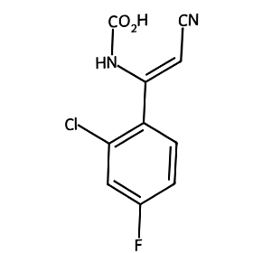 N#CC=C(NC(=O)O)c1ccc(F)cc1Cl